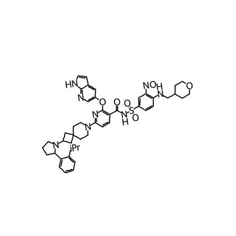 CC(C)c1ccccc1C1CCCN1C1CC2(CCN(c3ccc(C(=O)NS(=O)(=O)c4ccc(NCC5CCOCC5)c(N=O)c4)c(Oc4cnc5[nH]ccc5c4)n3)CC2)C1